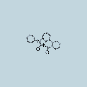 O=c1c2ccccc2c2cccc3c2n1c(=O)n3-c1ccccc1